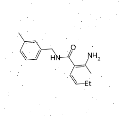 CC/C=C\C(C(=O)NCc1cccc(C)c1)=C(/C)N